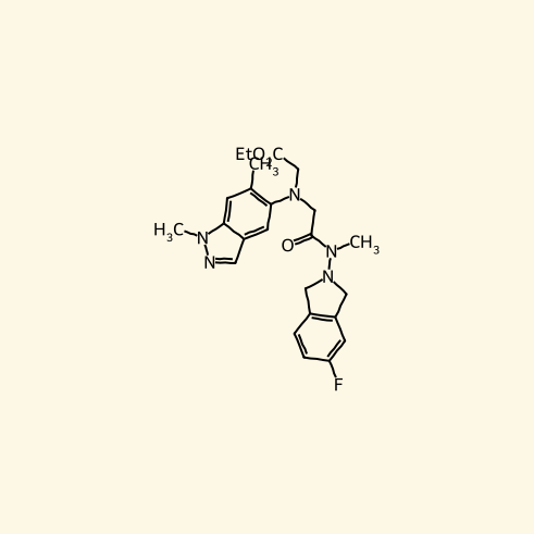 CCOC(=O)CN(CC(=O)N(C)N1Cc2ccc(F)cc2C1)c1cc2cnn(C)c2cc1C